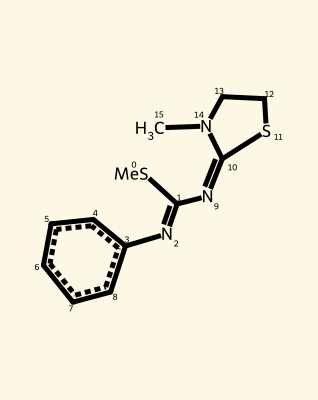 CSC(=N\c1ccccc1)/N=C1/SCCN1C